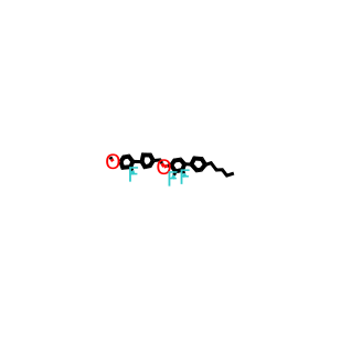 CCCCCc1ccc(-c2ccc(OCc3ccc(-c4ccc(OC)cc4F)cc3)c(F)c2F)cc1